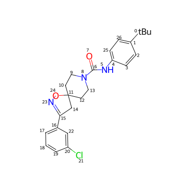 CC(C)(C)c1ccc(NC(=O)N2CCC3(CC2)CC(c2cccc(Cl)c2)=NO3)cc1